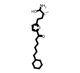 C[C@H](CCc1ccc(C(=O)CCCCCC2CCCCC2)s1)C(N)O